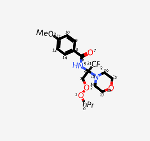 CCCOOCC(NC(=O)c1ccc(OC)cc1)(N1CCOCC1)C(F)(F)F